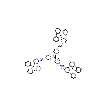 C1=CC2=C(CC1)C1(c3ccccc32)c2ccccc2-c2ccc(/C=C/c3ccc(N(c4ccc(/C=C/c5ccc6c(c5)C5(c7ccccc7-c7ccccc75)c5ccccc5-6)cc4)c4ccc(/C=C/c5ccc6c(c5)C5(c7ccccc7-c7ccccc75)c5ccccc5-6)cc4)cc3)cc21